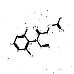 C=CN(C(=O)COC(C)=O)c1c(C)cccc1C